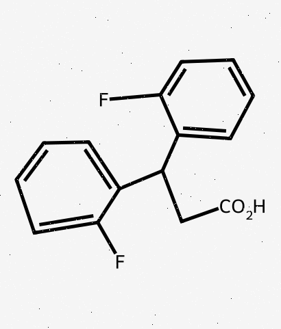 O=C(O)CC(c1ccccc1F)c1ccccc1F